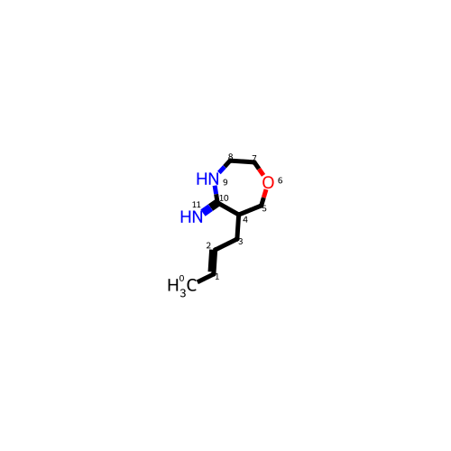 CC=CCC1COCCNC1=N